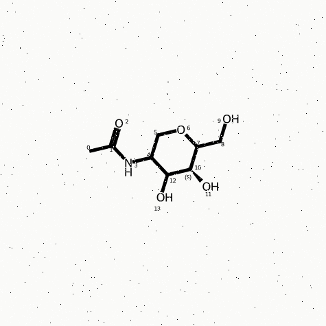 CC(=O)NC1COC(CO)[C@@H](O)C1O